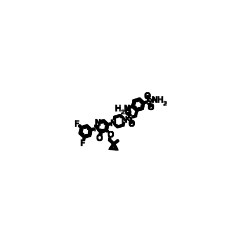 CC1(COc2c(N3CCN(S(=O)(=O)Cc4cc(S(N)(=O)=O)ccc4N)CC3)cnn(-c3cc(F)cc(F)c3)c2=O)CC1